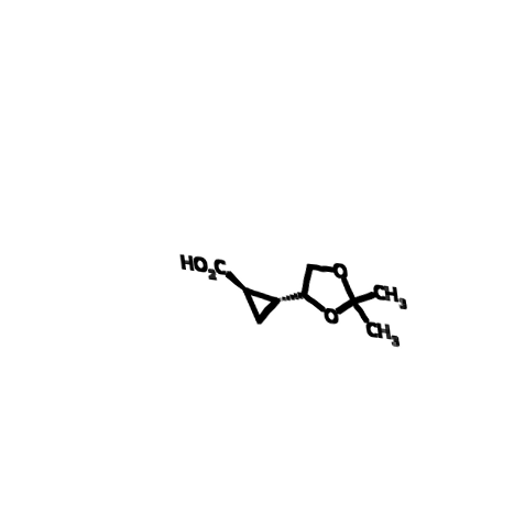 CC1(C)OCC([C@@H]2C[C@H]2C(=O)O)O1